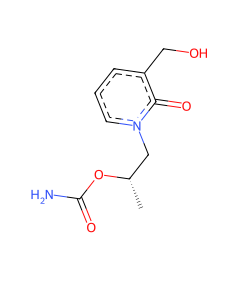 C[C@@H](Cn1cccc(CO)c1=O)OC(N)=O